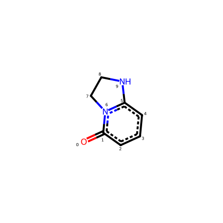 O=c1cccc2n1CCN2